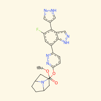 CC(C)(C)OC(=O)N1C2CCC1CC(Oc1ccc(-c3cc(F)c(-c4cn[nH]c4)c4cn[nH]c34)nn1)C2